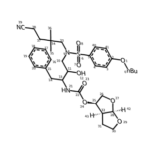 CCCCOc1ccc(S(=O)(=O)N(CC(O)C(Cc2ccccc2)NC(=O)O[C@H]2CO[C@H]3OCC[C@H]32)CC(C)(C)CCC#N)cc1